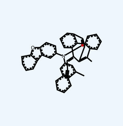 C#C/C=C1\C2=C(C)c3ccccc3-c3c1cccc3-c1ccc(N(c3cc(C)c4ccccc4c3)c3ccc4oc5ccccc5c4c3)cc12